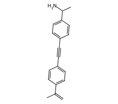 C=C(C)c1ccc(C#Cc2ccc(C(C)N)cc2)cc1